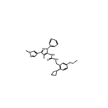 CCSc1ccc(C2CCC2)c(CNC(=O)Nc2c(C)c(-c3cnn(C)c3)nn2-c2ccccc2)c1